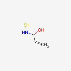 C=CC(O)NS